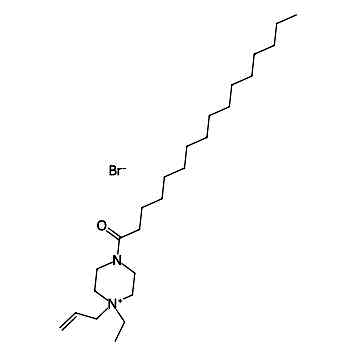 C=CC[N+]1(CC)CCN(C(=O)CCCCCCCCCCCCCCC)CC1.[Br-]